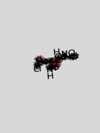 O=C(NS(=O)(=O)c1ccc(NCC2CCOCC2)c([N+](=O)[O-])c1)c1ccc(N2CCN(CC3=C(c4ccc(Cl)cc4)CCCCC3)CC2)cc1N1CCCOc2nc3[nH]ccc3cc21